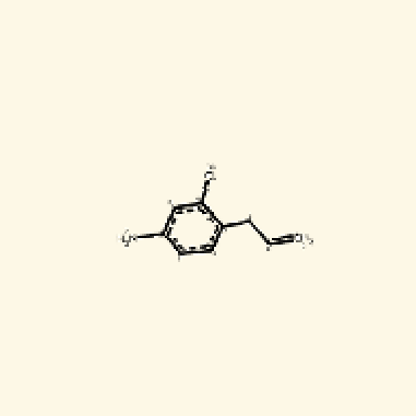 C=CCc1ccc(N)cc1Cl